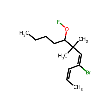 C/C=C\C(Br)=C/C(C)(C)C(CCCC)OF